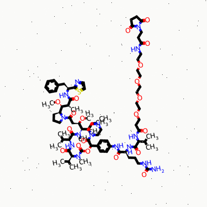 CC[C@H](C)[C@@H]([C@@H](CC(=O)N1CCC[C@H]1[C@H](OC)[C@@H](C)C(=O)N[C@@H](Cc1ccccc1)c1nccs1)OC)N(C)C(=O)[C@@H](NC(=O)[C@H](C(C)C)N(C)C(=O)OC(C(=O)N1CCN(C)CC1)c1ccc(NC(=O)[C@H](CCCNC(N)=O)NC(=O)C(NC(=O)CCOCCOCCOCCOCCNC(=O)CCN2C(=O)CCC2=O)C(C)C)cc1)C(C)C